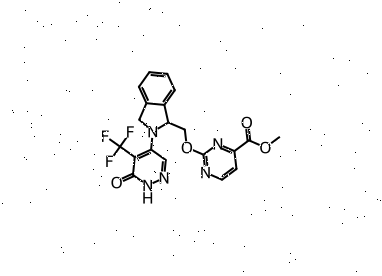 COC(=O)c1ccnc(OCC2c3ccccc3CN2c2cn[nH]c(=O)c2C(F)(F)F)n1